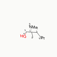 CN[C@](C)(CO)CC(C)C